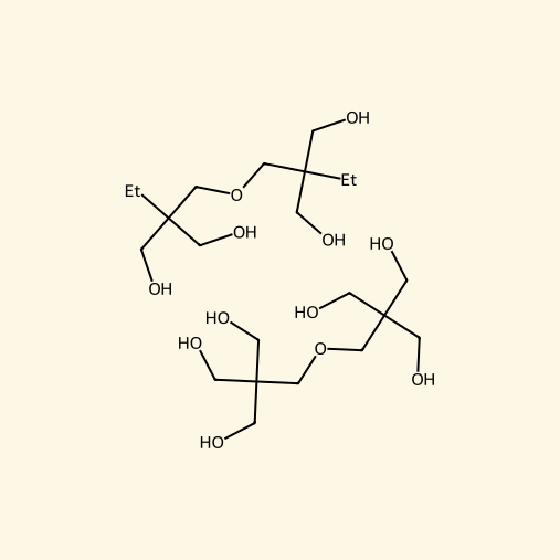 CCC(CO)(CO)COCC(CC)(CO)CO.OCC(CO)(CO)COCC(CO)(CO)CO